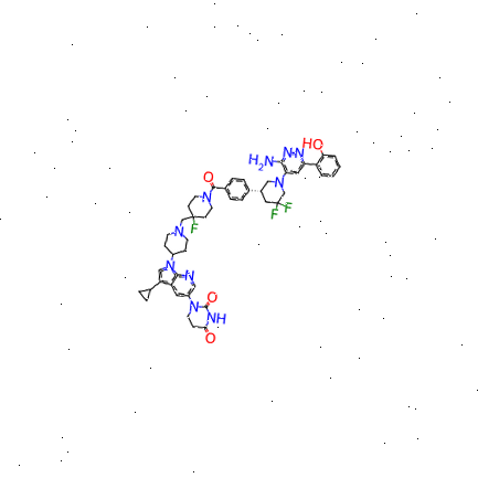 Nc1nnc(-c2ccccc2O)cc1N1C[C@@H](c2ccc(C(=O)N3CCC(F)(CN4CCC(n5cc(C6CC6)c6cc(N7CCC(=O)NC7=O)cnc65)CC4)CC3)cc2)CC(F)(F)C1